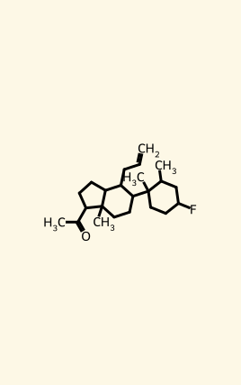 C=CCC1C(C2(C)CCC(F)CC2C)CCC2(C)C(C(C)=O)CCC12